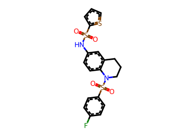 O=S(=O)(Nc1ccc2c(c1)CCCN2S(=O)(=O)c1ccc(F)cc1)c1cccs1